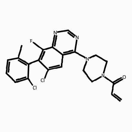 C=CC(=O)N1CCN(c2ncnc3c(F)c(-c4c(C)cccc4Cl)c(Cl)cc23)CC1